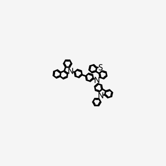 c1ccc(-n2c3ccccc3c3cc(N(c4ccc(-c5ccc(-n6c7ccccc7c7c8ccccc8ccc76)cc5)cc4)c4cccc5sc6ccccc6c45)ccc32)cc1